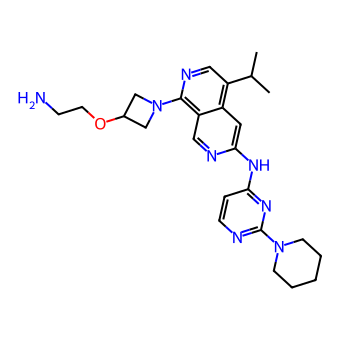 CC(C)c1cnc(N2CC(OCCN)C2)c2cnc(Nc3ccnc(N4CCCCC4)n3)cc12